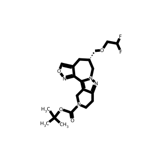 CC(C)(C)OC(=O)N1CCc2nn3c(c2C1)-c1nocc1C[C@H](COCC(F)F)C3